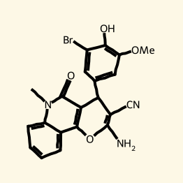 COc1cc(C2C(C#N)=C(N)Oc3c2c(=O)n(C)c2ccccc32)cc(Br)c1O